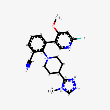 COc1cc(F)ncc1-c1cccc(C#N)c1N1CCC(c2nncn2C)CC1